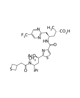 CC(=O)O[C@H](CC(C(C)C)N(C)C(=O)CC1CSC1)c1nc(C(=O)N[C@@H](Cc2ncc(C(F)(F)F)cn2)C[C@H](C)C(=O)O)cs1